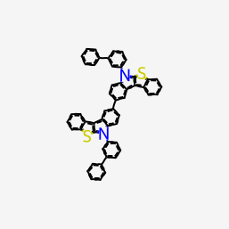 c1ccc(-c2cccc(-n3c4ccc(-c5ccc6c(c5)c5c7ccccc7sc5n6-c5cccc(-c6ccccc6)c5)cc4c4c5ccccc5sc43)c2)cc1